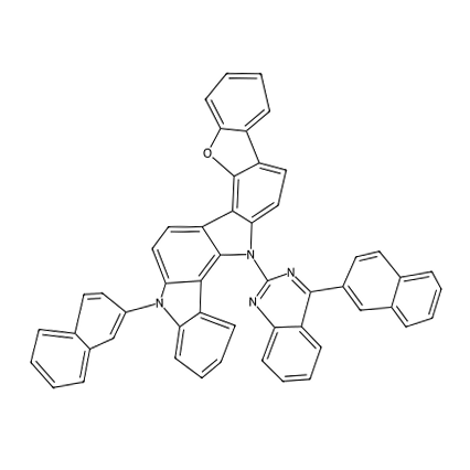 c1ccc2cc(-c3nc(-n4c5ccc6c7ccccc7oc6c5c5ccc6c(c7ccccc7n6-c6ccc7ccccc7c6)c54)nc4ccccc34)ccc2c1